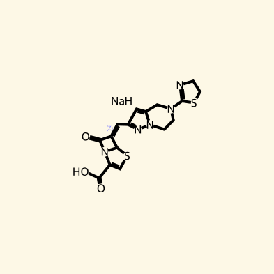 O=C(O)C1=CSC2/C(=C\c3cc4n(n3)CCN(C3=NCCS3)C4)C(=O)N12.[NaH]